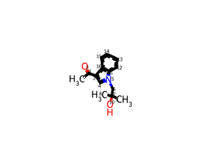 CC(=O)c1cn(CC(C)(C)O)c2ccccc12